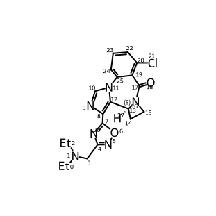 CCN(CC)Cc1noc(-c2ncn3c2[C@@H]2CCN2C(=O)c2c(Cl)cccc2-3)n1